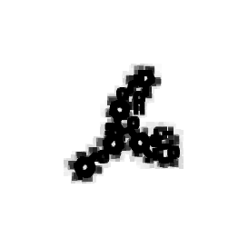 COc1cc(C(=O)c2c(-c3ccc(OCCN4CCCC4CO)cc3)sc3cc(OCc4ccccc4)ccc23)ccc1CN1CCOCC1